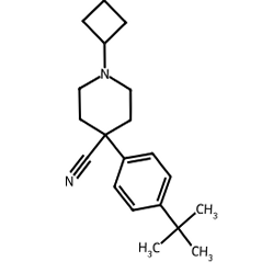 CC(C)(C)c1ccc(C2(C#N)CCN(C3CCC3)CC2)cc1